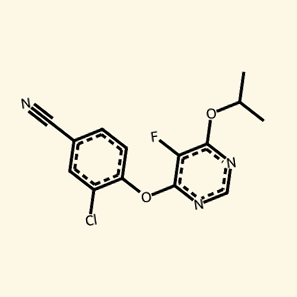 CC(C)Oc1ncnc(Oc2ccc(C#N)cc2Cl)c1F